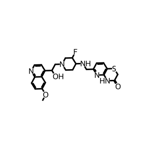 COc1ccc2nccc(C(O)CN3CCC(NCc4ccc5c(n4)NC(=O)CS5)C(F)C3)c2c1